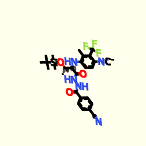 [C-]#[N+]c1ccc(N[C@@H](C(=O)NNC(=O)c2ccc(C#N)cc2)[C@H](C)O[Si](C)(C)C(C)(C)C)c(C)c1C(F)(F)F